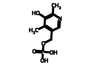 Cc1ncc(COP(=O)(O)O)c(C)c1O